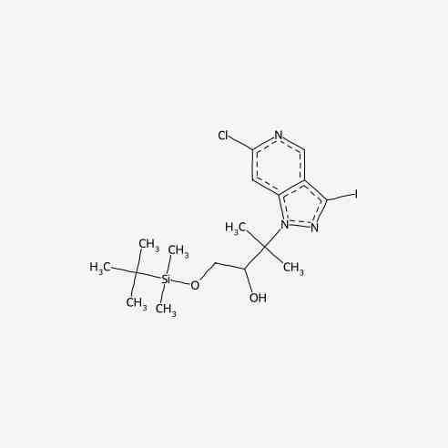 CC(C)(C(O)CO[Si](C)(C)C(C)(C)C)n1nc(I)c2cnc(Cl)cc21